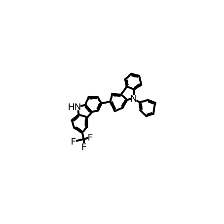 FC(F)(F)c1ccc2[nH]c3ccc(-c4ccc5c(c4)c4ccccc4n5-c4ccccc4)cc3c2c1